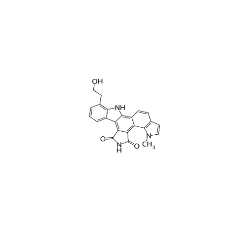 Cn1ccc2ccc3c4[nH]c5c(CCO)cccc5c4c4c(c3c21)C(=O)NC4=O